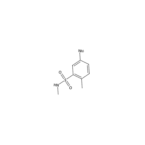 CNS(=O)(=O)c1cc([NH])ccc1C